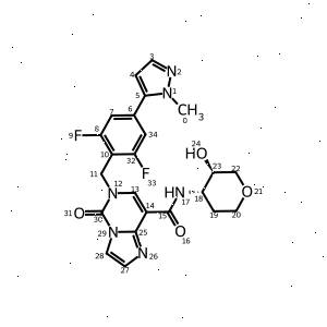 Cn1nccc1-c1cc(F)c(Cn2cc(C(=O)N[C@H]3CCOC[C@@H]3O)c3nccn3c2=O)c(F)c1